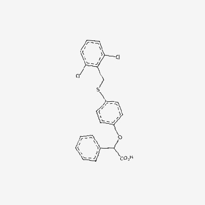 O=C(O)C(Oc1ccc(SCc2c(Cl)cccc2Cl)cc1)c1ccccc1